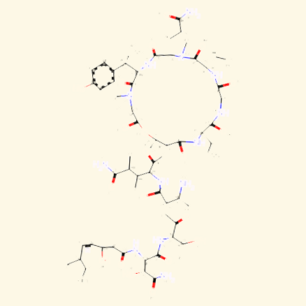 COC[C@H]1NC(=O)[C@H](CC(=O)C(NC(=O)[C@@H](CC(=O)[C@H](NC(=O)[C@H](NC(=O)CC(O)/C=C\C(C)CC(C)C)[C@H](O)C(N)=O)[C@@H](C)O)[C@H](C)N)C(C)C(C)C(N)=O)[C@@H](C)OC(=O)[C@H](C)N(C)C(=O)[C@@H]([C@H](OC)c2ccc(O)cc2)NC(=O)[C@H](CCC(N)=O)N(C)C(=O)[C@H](CC(C)C)NC(=O)CNC1=O